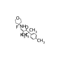 C/C(=C/NC1(F)CCOCC1)C(=O)C(C)(C)c1ccc(C)cc1